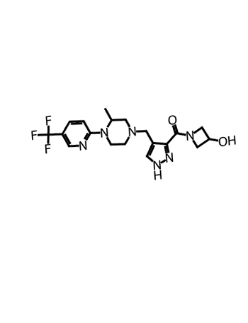 CC1CN(Cc2c[nH]nc2C(=O)N2CC(O)C2)CCN1c1ccc(C(F)(F)F)cn1